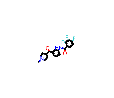 CN1CCC(C(=O)c2cccc(NC(=O)c3ccc(F)c(F)c3F)c2)CC1